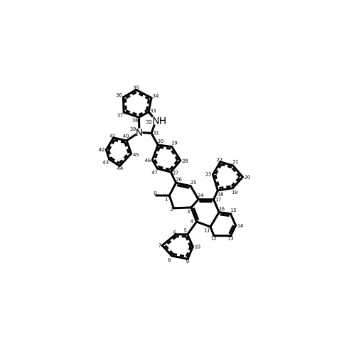 CC1CC2=C(c3ccccc3)C3CC=CC=C3C(c3ccccc3)=C2C=C1c1ccc(C2Nc3ccccc3N2c2ccccc2)cc1